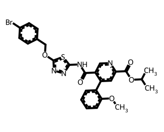 COc1ccccc1-c1cc(C(=O)OC(C)C)ncc1C(=O)Nc1nnc(OCc2ccc(Br)cc2)s1